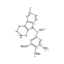 COc1cc(Cn2c3c(c4cc(C)ccc42)CCNC3)cc([N+](=O)[O-])c1OC.Cl